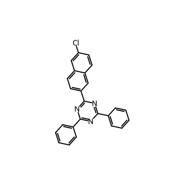 Clc1ccc2cc(-c3nc(-c4ccccc4)nc(-c4ccccc4)n3)ccc2c1